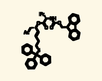 CC(=O)C[C@@H](/C=C/CCSC(c1ccccc1)(c1ccccc1)c1ccccc1)OC(=O)[C@@H](NC(=O)OCC1c2ccccc2-c2ccccc21)C(C)C